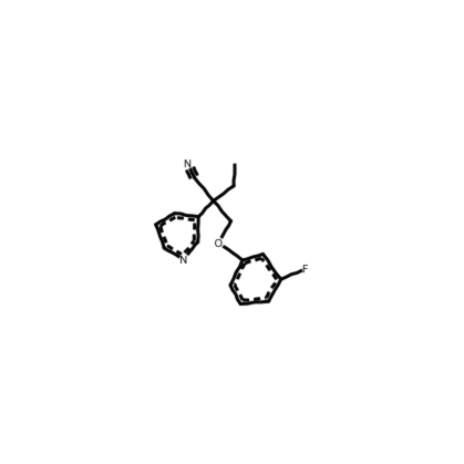 CCC(C#N)(COc1cccc(F)c1)c1cccnc1